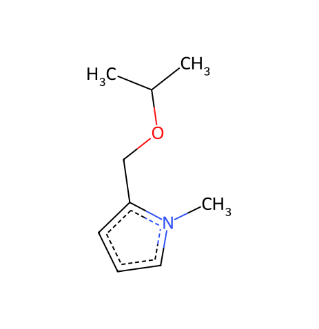 CC(C)OCc1cccn1C